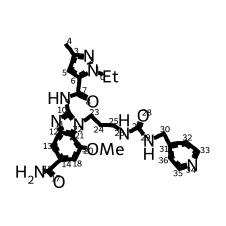 CCn1nc(C)cc1C(=O)Nc1nc2cc(C(N)=O)cc(OC)c2n1CCCNC(=O)NCc1ccncc1